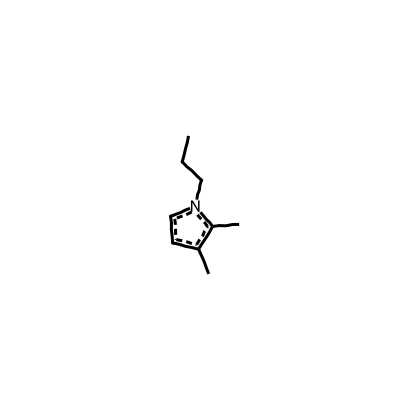 CCCn1ccc(C)c1C